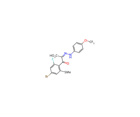 CSc1cc(Br)cc(F)c1C(=O)/C(=N\Nc1ccc(OC(F)(F)F)cc1)C(=O)O